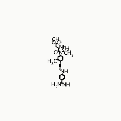 COC(=O)CC(N)C(=O)N(c1ccc(C#CCNc2ccc(C(=N)N)cc2)c(C)c1)C(C)C